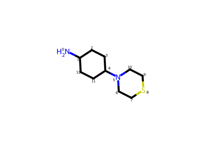 NC1CCC(N2CCSCC2)CC1